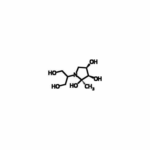 C[C@@]1(O)[C@H](O)[C@H](O)CN1C(CO)CO